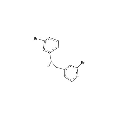 Brc1cccc(C2[CH]C2c2cccc(Br)c2)c1